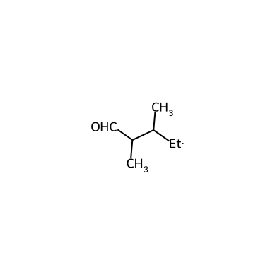 C[CH]C(C)C(C)C=O